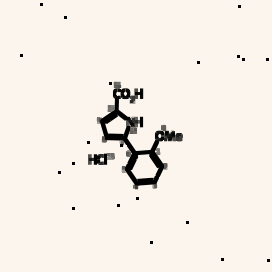 COc1ccccc1-c1ccc(C(=O)O)[nH]1.Cl